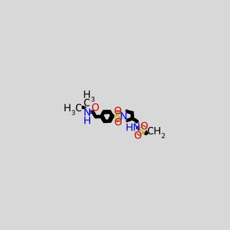 C=CS(=O)(=O)NCC1CCN(S(=O)(=O)c2ccc(CC(=O)NC(C)C)cc2)C1